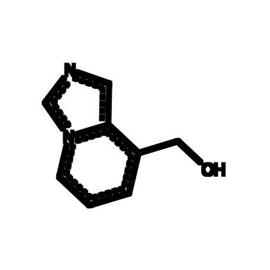 OCc1cccn2cncc12